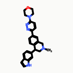 CN1Cc2cc(-c3ccc(N4CCOCC4)nn3)ccc2C(c2ccc3cc[nH]c3c2)C1